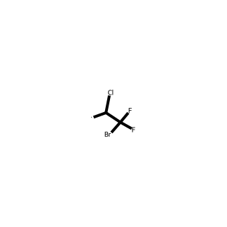 [CH2]C(Cl)C(F)(F)Br